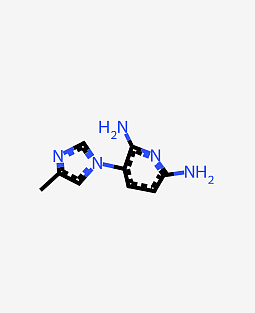 Cc1cn(-c2ccc(N)nc2N)cn1